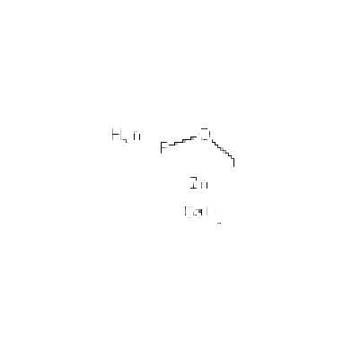 FOF.[GaH3].[InH3].[Zn]